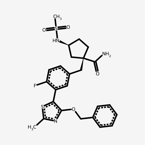 Cc1nc(OCc2ccccc2)c(-c2cc(C[C@]3(C(N)=O)CC[C@H](NS(C)(=O)=O)C3)ccc2F)s1